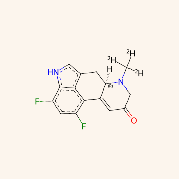 [2H]C([2H])([2H])N1CC(=O)C=C2c3c(F)cc(F)c4[nH]cc(c34)C[C@H]21